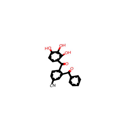 N#Cc1ccc(C(=O)c2ccc(O)c(O)c2O)c(C(=O)c2ccccc2)c1